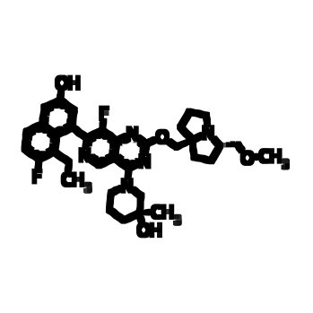 CCc1c(F)ccc2cc(O)cc(-c3ncc4c(N5CCC[C@@](C)(O)C5)nc(OC[C@@]56CCCN5[C@H](COC)CC6)nc4c3F)c12